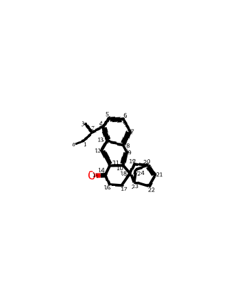 CCC(C)c1cccc2cc3c(cc12)C(=O)CCC31CC2=CCC1C2